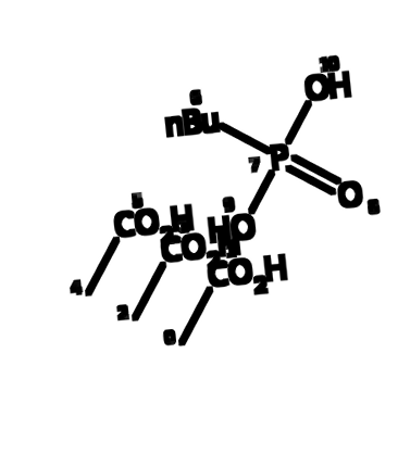 CC(=O)O.CC(=O)O.CC(=O)O.CCCCP(=O)(O)O